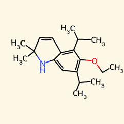 CCOc1c(C(C)C)cc2c(c1C(C)C)C=CC(C)(C)N2